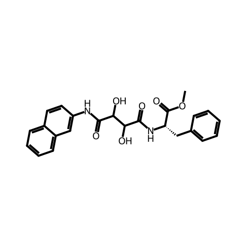 COC(=O)[C@H](Cc1ccccc1)NC(=O)C(O)C(O)C(=O)Nc1ccc2ccccc2c1